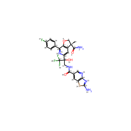 C[C@]1(C(N)=O)COc2c1cc(C(O)(CNC(=O)c1cnc3nc(N)sc3c1)C(F)(F)F)nc2-c1ccc(F)cc1